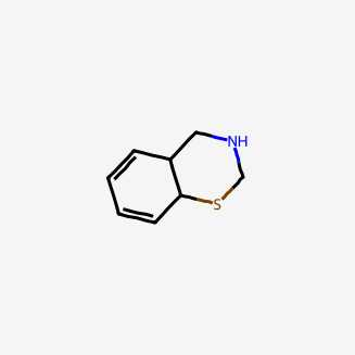 C1=CC2CNCSC2C=C1